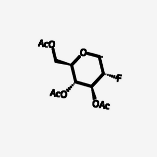 CC(=O)OC[C@H]1O[CH][C@H](F)[C@@H](OC(C)=O)[C@@H]1OC(C)=O